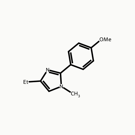 CCc1cn(C)c(-c2ccc(OC)cc2)n1